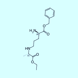 CCOC(=O)[C@H](C)NCCC[C@@H](N)C(=O)OCc1ccccc1